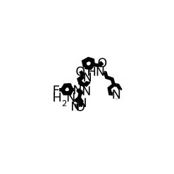 CN1CCC(CCCNC(=O)c2cccc(Oc3cc4c(cn3)nc(-c3nonc3N)n4-c3ccc(F)cc3)c2)CC1